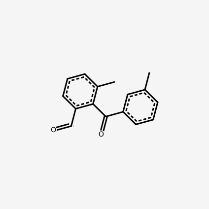 Cc1cccc(C(=O)c2c(C)cccc2[C]=O)c1